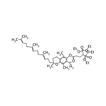 CCOP(=O)(OCC)C(CCC(=O)Oc1c(C)c(C)c2c(c1C)CCC(C)(CC/C=C(\C)CC/C=C(\C)CCC=C(C)C)O2)P(=O)(OCC)OCC